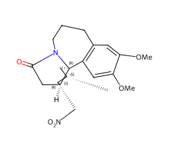 COc1cc2c(cc1OC)[C@@]13C[C@H](C)[C@@H](C[N+](=O)[O-])[C@@H]1CC(=O)N3CCC2